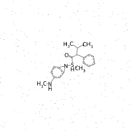 CNc1ccc2c(c1)N2[SH](C)C(=O)C(c1ccccc1)C(C)C